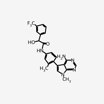 Cc1cc(NC(=O)C(O)c2cccc(C(F)(F)F)c2)ccc1-c1cn(C)c2ncnc(N)c12